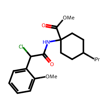 COC(=O)C1(NC(=O)C(Cl)c2ccccc2OC)CCC(C(C)C)CC1